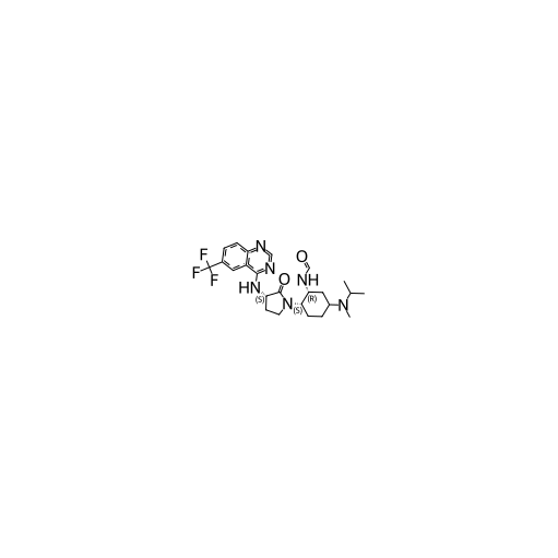 CC(C)N(C)C1CC[C@H](N2CC[C@H](Nc3ncnc4ccc(C(F)(F)F)cc34)C2=O)[C@H](NC=O)C1